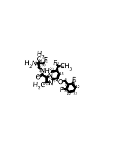 Cc1nc2c(OCc3c(F)cccc3F)cc(C(C)F)cn2c1C(=O)NCC(C)(N)CF